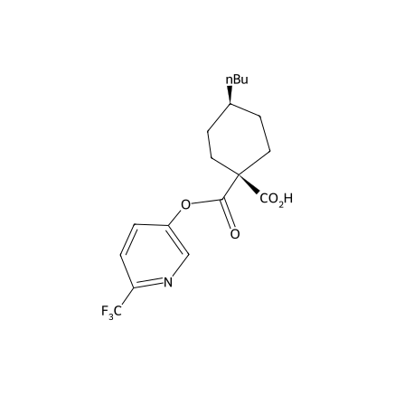 CCCC[C@H]1CC[C@](C(=O)O)(C(=O)Oc2ccc(C(F)(F)F)nc2)CC1